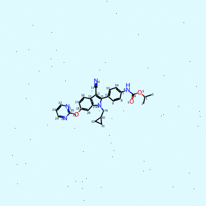 CC(C)OC(=O)Nc1ccc(-c2c(C#N)c3ccc(Oc4ncccn4)cc3n2CC2CC2)cc1